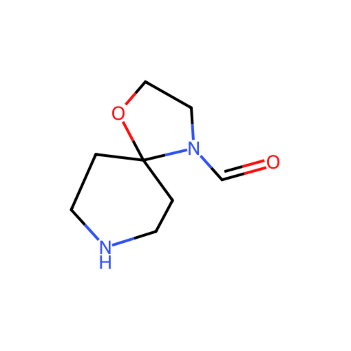 O=CN1CCOC12CCNCC2